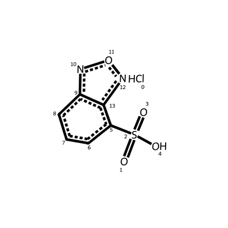 Cl.O=S(=O)(O)c1cccc2nonc12